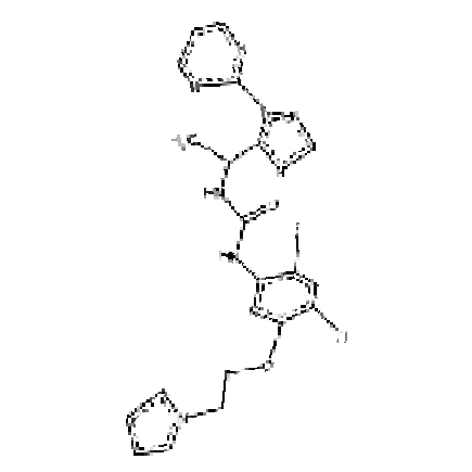 CC(NC(=O)Nc1cc(OCCn2cccc2)c(Cl)cc1Cl)c1ncnn1-c1ncccn1